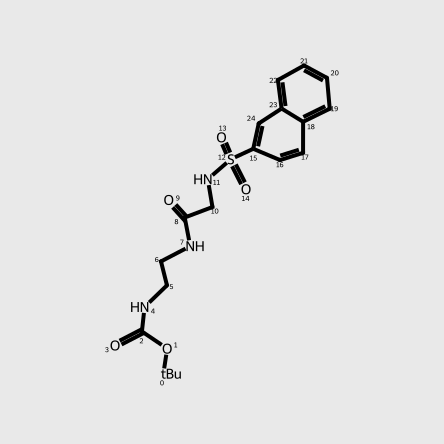 CC(C)(C)OC(=O)NCCNC(=O)CNS(=O)(=O)c1ccc2ccccc2c1